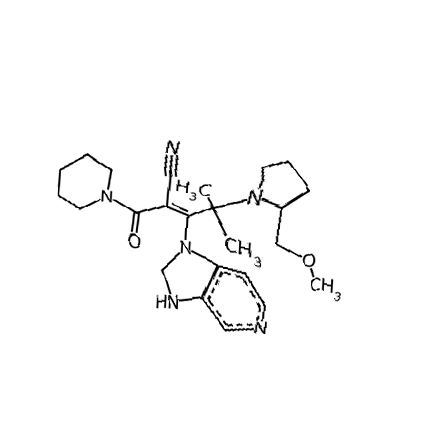 COCC1CCCN1C(C)(C)C(=C(C#N)C(=O)N1CCCCC1)N1CNc2cnccc21